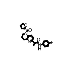 CC(C(=O)Nc1ccc(F)cc1)c1ccc2c(n1)CCCN2C(=O)[C@@H]1CCCO1